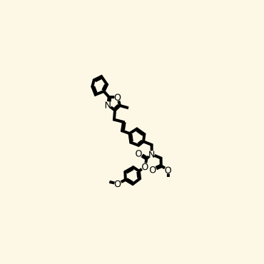 COC(=O)CN(Cc1ccc(/C=C/Cc2nc(-c3ccccc3)oc2C)cc1)C(=O)Oc1ccc(OC)cc1